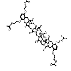 CC(=O)SCCOc1ccc(OCCSC(C)=O)c2c1CN1C(=O)N3CN4C(=O)N5CN6C(=O)N7CN8C(=O)N9Cc%10c(OCCSC(C)=O)ccc(OCCSC(C)=O)c%10CN%10C(=O)N%11CN%12C(=O)N(CN%13C(=O)N(CN%14C(=O)N(C2)[C@]1(C)C3%14)C4[C@H]%135)[C@@H]6[C@@]7%12N[C@@]8%11[C@]%109C